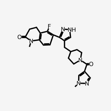 CN1C(=O)CCc2c1ccc(-c1n[nH]cc1CC1CCN(C(=O)c3cnn(C)c3)CC1)c2F